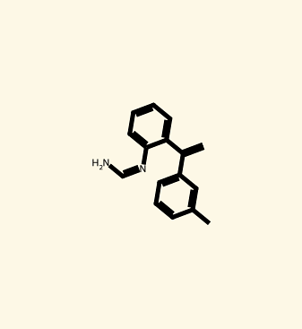 C=C(c1cccc(C)c1)c1ccccc1/N=C\N